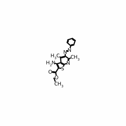 CCOC(=O)c1sc2nc(C)c(/N=N/c3ccccc3)c(C)c2c1N